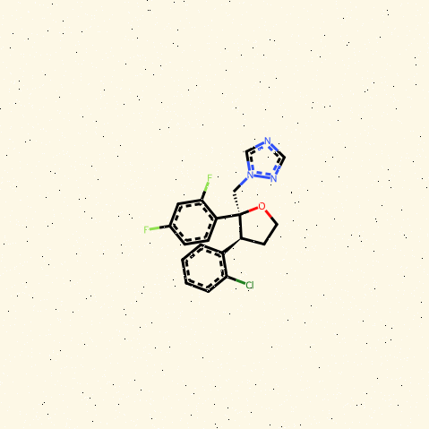 Fc1ccc([C@@]2(Cn3[c]ncn3)OCC[C@H]2c2ccccc2Cl)c(F)c1